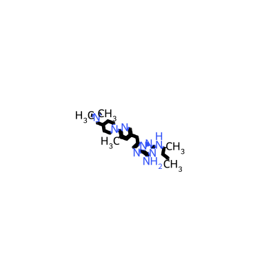 CCC[C@@H](C)Nc1nc(N)c2ncc(Cc3cnc(N4CCC(CN(C)C)CC4)c(C)c3)n2n1